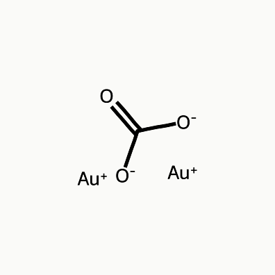 O=C([O-])[O-].[Au+].[Au+]